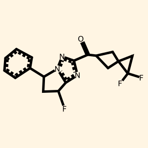 O=C(c1nc2n(n1)C(c1ccccc1)CC2F)C1CC2(C1)CC2(F)F